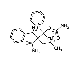 CC(C)CC(C(N)=O)(C(c1ccccc1)c1ccccc1)C(C)(C)OC(N)=O